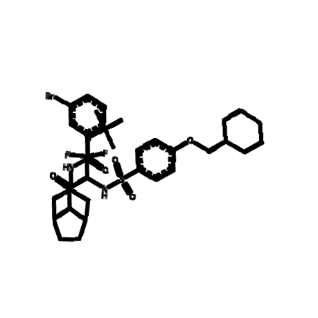 CC(C)(C)OC(=O)NC1CC2CCC(C1)C2C(=O)C(NS(=O)(=O)c1ccc(OCC2CCCCC2)cc1)C(F)(F)c1cccc(Br)c1